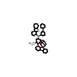 Cc1cc(N(c2cccc(-c3ccccc3)c2)c2cccc3c2sc2ccccc23)ccc1-c1cccc2c1C1(c3ccccc3-2)C2CC3CC(C2)CC1C3